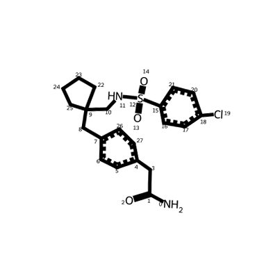 NC(=O)Cc1ccc(CC2(CNS(=O)(=O)c3ccc(Cl)cc3)CCCC2)cc1